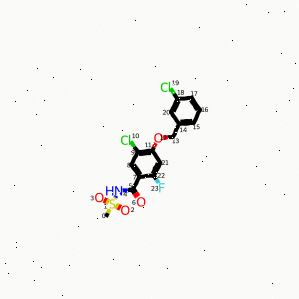 CS(=O)(=O)NC(=O)c1cc(Cl)c(OCc2cccc(Cl)c2)cc1F